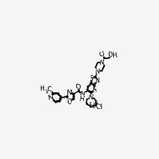 Cc1cc(-c2nc(C(=O)Nc3cc4sc(N5CCN(C(=O)CO)CC5)nc4nc3N3CCCCC3)co2)ccn1.Cl